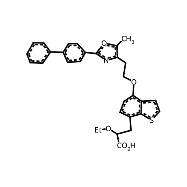 CCOC(Cc1ccc(OCCc2nc(-c3ccc(-c4ccccc4)cc3)oc2C)c2ccsc12)C(=O)O